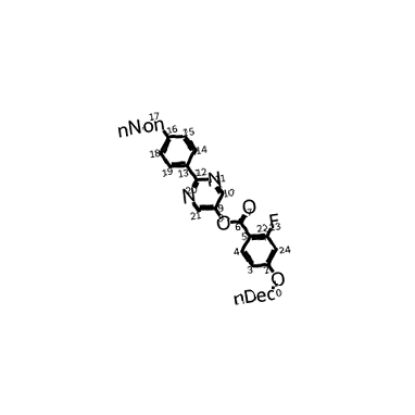 CCCCCCCCCCOc1ccc(C(=O)Oc2cnc(-c3ccc(CCCCCCCCC)cc3)nc2)c(F)c1